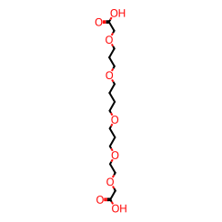 O=C(O)COCCCOCCCCOCCCOCCOCC(=O)O